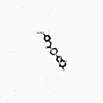 CC(=O)Nc1ccc(CC(=O)N2CCN(c3cn4cc(Cl)cnc4n3)CC2)cc1